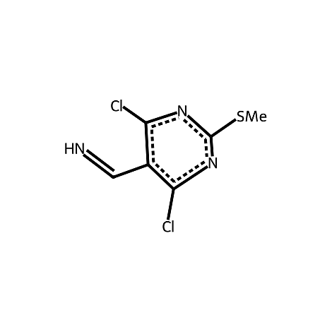 CSc1nc(Cl)c(C=N)c(Cl)n1